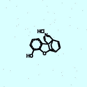 Cl.Oc1cccc2c1OC1=C3C=CC4(C=NC=CC124)CC3